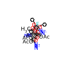 CC(=O)OC[C@H]1O[C@@H](O[C@H]2[C@H](O[C@H]3O[C@H](CN=[N+]=[N-])[C@@H](OCc4ccccc4)[C@H](F)[C@H]3OCc3ccccc3)[C@@H](C)CC(N=[N+]=[N-])[C@@H]2OC(C)=O)[C@H](OC(C)=O)[C@@H]1O[C@@H]1C[C@@H](OC(C)=O)[C@H](OC(C)=O)[C@H](CN=[N+]=[N-])O1